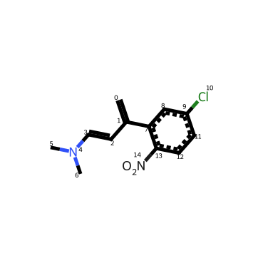 C=C(/C=C/N(C)C)c1cc(Cl)ccc1[N+](=O)[O-]